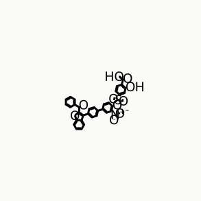 O=C(O)c1ccc(S(=O)(=O)Oc2ccc(-c3ccc(-c4c(C(=O)c5ccccc5)oc5ccccc45)cc3)cc2[N+](=O)[O-])cc1O